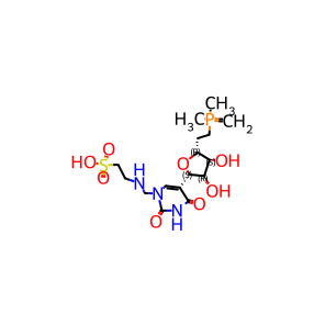 C=P(C)(C)CC[C@H]1O[C@@H](c2cn(CNCCS(=O)(=O)O)c(=O)[nH]c2=O)[C@H](O)[C@@H]1O